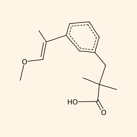 COC=C(C)c1cccc(CC(C)(C)C(=O)O)c1